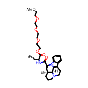 CC[C@@]12C=C(C(=O)N[C@@H](CC(C)C)C(=O)OCCOCCOCCOCCOC)n3c4c(c5ccccc53)CCN(CCC1)[C@H]42